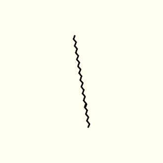 CCCCCC/C=C/CCCCCCCCCCCCCCCCCCCC